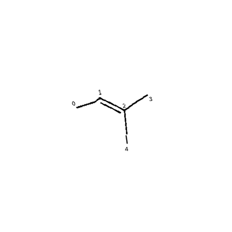 C/C=C(/C)I